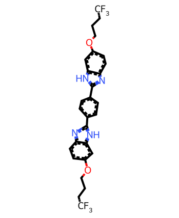 FC(F)(F)CCCOc1ccc2nc(-c3ccc(-c4nc5ccc(OCCCC(F)(F)F)cc5[nH]4)cc3)[nH]c2c1